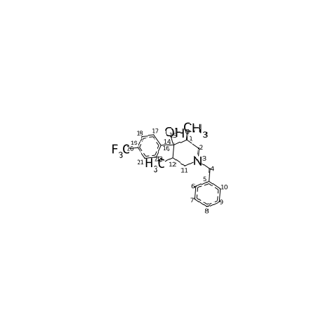 CC1CN(Cc2ccccc2)CC(C)C1(O)c1ccc(C(F)(F)F)cc1